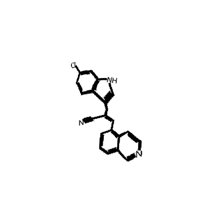 N#C/C(=C\c1cccc2cnccc12)c1c[nH]c2cc(Cl)ccc12